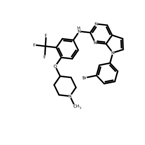 CN1CCC(Oc2ccc(Nc3ncc4ccn(-c5cccc(Br)c5)c4n3)cc2C(F)(F)F)CC1